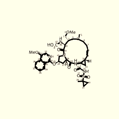 COC[C@@H]1C[C@@H](C)CC/C=C\[C@@H]2C[C@@]2(C(=O)NS(=O)(=O)C2(C)CC2)NC(=O)[C@@H]2C[C@@H](Oc3ncc(OC)c4ccccc34)CN2C(=O)[C@H]1NC(=O)O